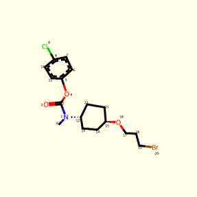 CN(C(=O)Oc1ccc(Cl)cc1)[C@H]1CC[C@H](OCCCBr)CC1